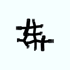 O=S(=O)(O)C(F)(F)C(F)(OC(F)F)C(F)(F)S(=O)(=O)O